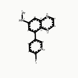 CC(C)Nc1cc(-c2ccc(F)nc2)c2nccnc2c1